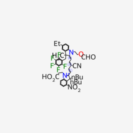 CCCCC1(CCCC)C(/C=C/C(C#N)=C/C=C2/N(CCOC=O)c3ccc(CC)cc3C2(C)Cc2c(F)c(F)c(F)c(F)c2F)=[N+](CCC(=O)O)c2cccc([N+](=O)[O-])c21